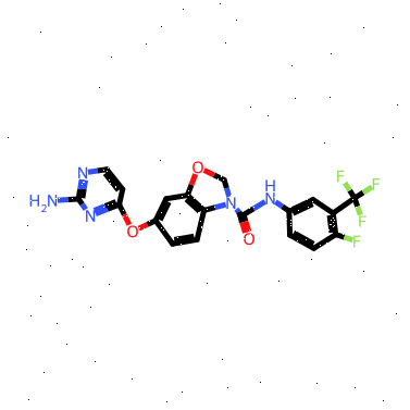 Nc1nccc(Oc2ccc3c(c2)OCN3C(=O)Nc2ccc(F)c(C(F)(F)F)c2)n1